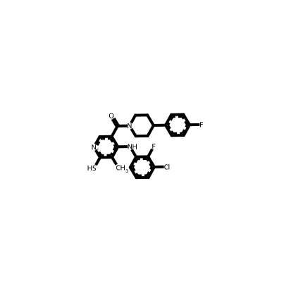 Cc1c(S)ncc(C(=O)N2CCC(c3ccc(F)cc3)CC2)c1Nc1cccc(Cl)c1F